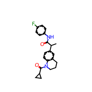 CC(C(=O)Nc1ccc(F)cc1)c1ccc2c(c1)CCCN2C(=O)C1CC1